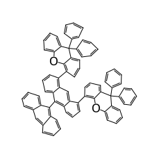 c1ccc(C2(c3ccccc3)c3ccccc3Oc3c(-c4cccc5c(-c6c7ccccc7cc7ccccc67)c6cccc(-c7cccc8c7Oc7ccccc7C8(c7ccccc7)c7ccccc7)c6cc45)cccc32)cc1